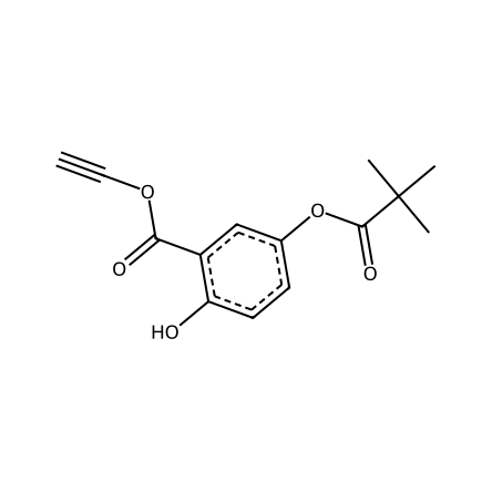 C#COC(=O)c1cc(OC(=O)C(C)(C)C)ccc1O